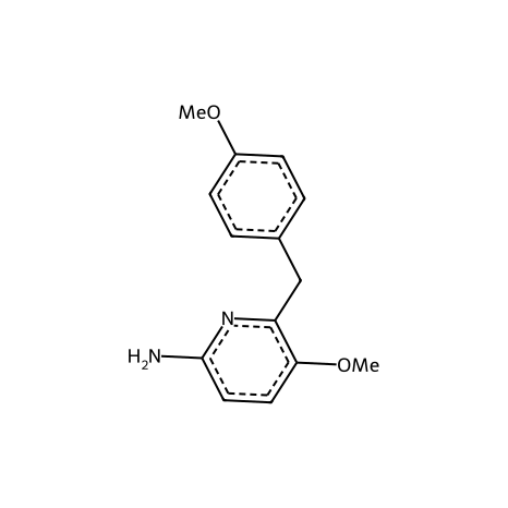 COc1ccc(Cc2nc(N)ccc2OC)cc1